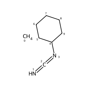 C.N=C=NC1CCCCC1